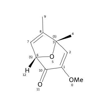 COC1=C[C@]2(C)O[C@@H](C=C2C)C1=O